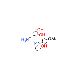 COc1ccc(C(CN(C)C)C2(O)CCCCC2)cc1.NCCc1ccc(O)c(O)c1